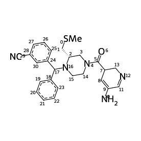 CSC[C@@H]1CN(C(=O)C2C=C(N)C=NC2)CCN1C(c1ccccc1)c1cccc(C#N)c1